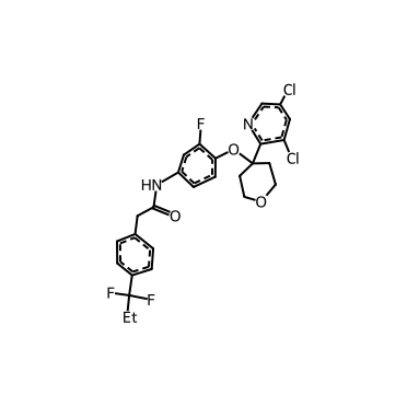 CCC(F)(F)c1ccc(CC(=O)Nc2ccc(OC3(c4ncc(Cl)cc4Cl)CCOCC3)c(F)c2)cc1